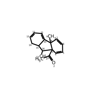 CC(=O)C12C=CC=CC1(C)C1=CC=CCC1C2C